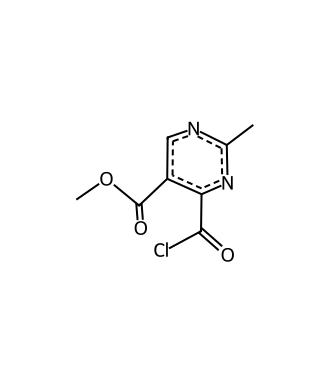 COC(=O)c1cnc(C)nc1C(=O)Cl